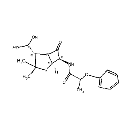 CC(Oc1ccccc1)C(=O)N[C@@H]1C(=O)N2[C@@H]1SC(C)(C)[C@@H]2C(O)O